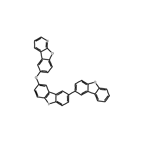 c1ccc2c(c1)oc1ccc(-c3ccc4sc5ccc(Oc6ccc7oc8ncccc8c7c6)cc5c4c3)cc12